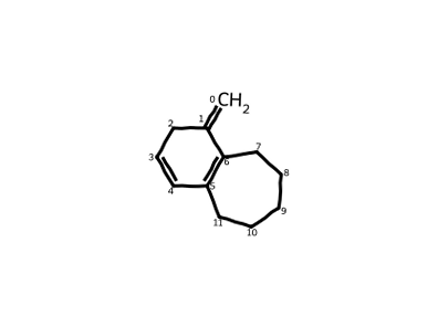 C=C1CC=CC2=C1CCCCC2